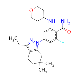 CCc1nn(-c2cc(F)c(C(N)=O)c(NC3CCOCC3)c2)c2c1CCC(C)(C)C2